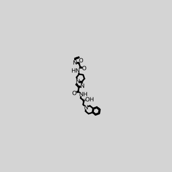 O=C(NC[C@H](O)CN1CCc2ccccc2C1)c1cn2c(n1)CCC(NC(=O)c1ncco1)C2